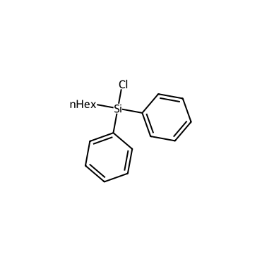 CCCCCC[Si](Cl)(c1ccccc1)c1ccccc1